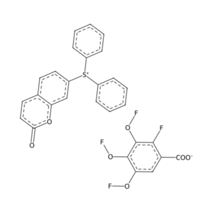 O=C([O-])c1cc(OF)c(OF)c(OF)c1F.O=c1ccc2ccc([S+](c3ccccc3)c3ccccc3)cc2o1